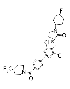 O=C(c1ccc(-c2cc(Cl)c(C[C@@H]3CCN(C4CCC(F)CC4)C3=O)c(Cl)c2)cc1)N1CCC(C(F)(F)F)CC1